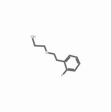 OCCOCCc1ccccc1F